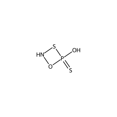 OP1(=S)ONS1